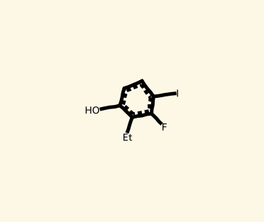 CCc1c(O)ccc(I)c1F